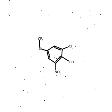 O=[N+]([O-])c1cc(SC(F)(F)F)cc(Cl)c1O